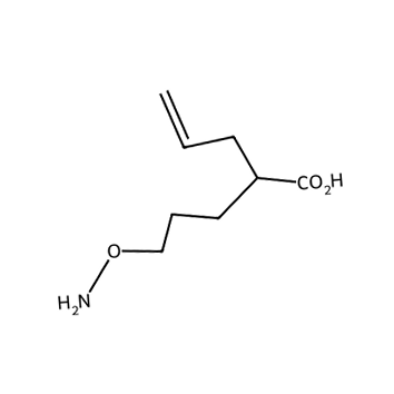 C=CCC(CCCON)C(=O)O